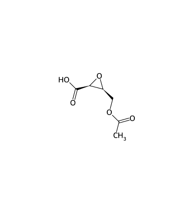 CC(=O)OC[C@@H]1O[C@@H]1C(=O)O